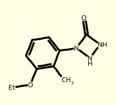 CCOc1cccc(-n2[nH][nH]c2=O)c1C